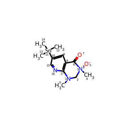 CN1C[N+](C)([O-])C(=O)c2c[c]([Sn]([CH3])([CH3])[CH3])cnc21